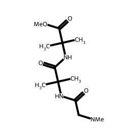 CNCC(=O)NC(C)(C)C(=O)NC(C)(C)C(=O)OC